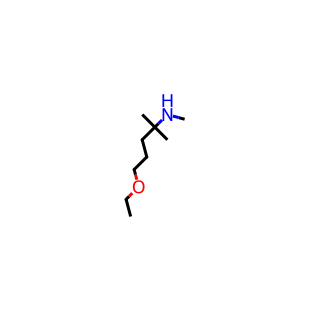 CCOCCCC(C)(C)NC